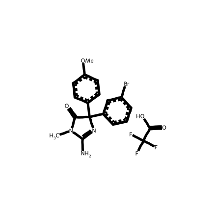 COc1ccc(C2(c3cccc(Br)c3)N=C(N)N(C)C2=O)cc1.O=C(O)C(F)(F)F